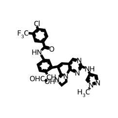 Cc1ccc(NC(=O)c2ccc(Cl)c(C(F)(F)F)c2)cc1C1=Cc2cnc(Nc3cnn(C)c3)nc2N2CCN=C12.O=CO